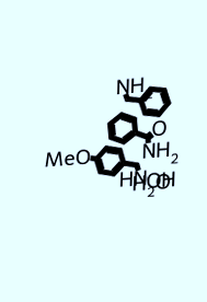 COc1ccc(CNO)cc1.NC(=O)c1ccccc1.NCc1ccccc1.O